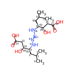 CC(C)C[C@H](NN=NN[C@@H](CC(C)C)[C@@H](O)CC(=O)O)[C@@H](O)CC(=O)O